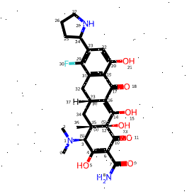 CN(C)[C@@H]1C(O)=C(C(N)=O)C(=O)[C@@]2(O)C(O)=C3C(=O)c4c(O)cc(C5CCCN5)c(F)c4C[C@H]3C[C@@]12C